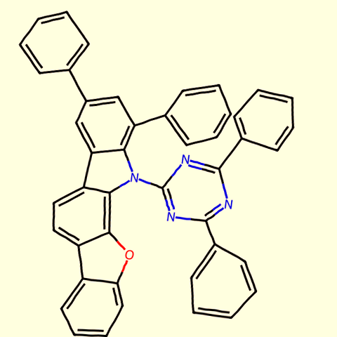 c1ccc(-c2cc(-c3ccccc3)c3c(c2)c2ccc4c5ccccc5oc4c2n3-c2nc(-c3ccccc3)nc(-c3ccccc3)n2)cc1